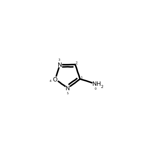 Nc1[c]non1